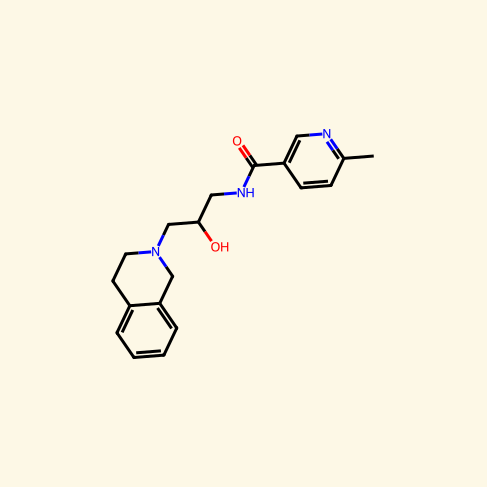 Cc1ccc(C(=O)NCC(O)CN2CCc3ccccc3C2)cn1